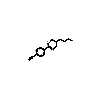 CCCCC1CN=C(c2ccc(C#N)cc2)OC1